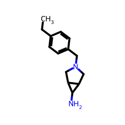 CCc1ccc(CN2CC3C(N)C3C2)cc1